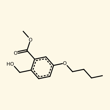 CCCCOc1ccc(CO)c(C(=O)OC)c1